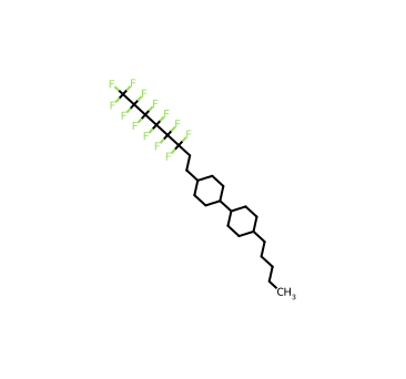 CCCCCC1CCC(C2CCC(CCC(F)(F)C(F)(F)C(F)(F)C(F)(F)C(F)(F)C(F)(F)F)CC2)CC1